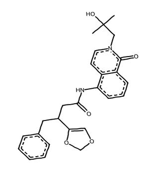 CC(C)(O)Cn1ccc2c(NC(=O)CC(Cc3ccccc3)C3=COCO3)cccc2c1=O